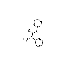 CN(C(=S)Sc1ccccc1)c1ccccc1